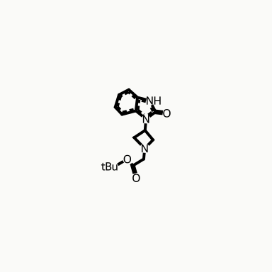 CC(C)(C)OC(=O)CN1CC(n2c(=O)[nH]c3ccccc32)C1